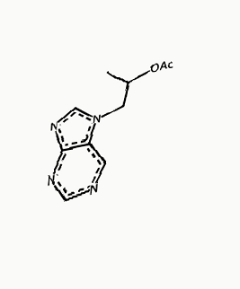 CC(=O)OC(C)Cn1cnc2ncncc21